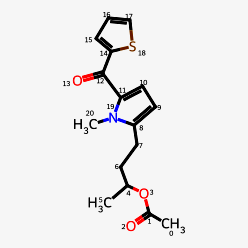 CC(=O)OC(C)CCc1ccc(C(=O)c2cccs2)n1C